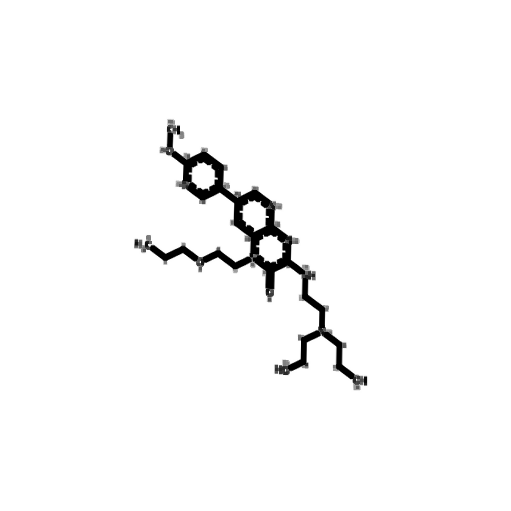 CCCOCCn1c(=O)c(NCCN(CCO)CCO)nc2ncc(-c3ccc(OC)nc3)cc21